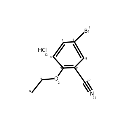 CCOc1ccc(Br)cc1C#N.Cl